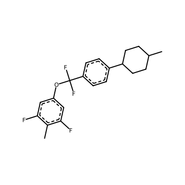 Cc1c(F)cc(OC(F)(F)c2ccc(C3CCC(C)CC3)cc2)cc1F